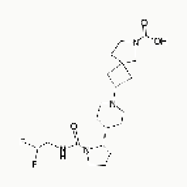 O=C(O)N1CCC2(CC(N3CCC([C@@H]4CCCN4C(=O)NCC(F)F)CC3)C2)C1